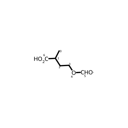 CC(CCO[C]=O)C(=O)O